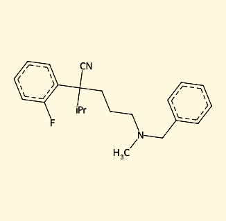 CC(C)C(C#N)(CCCN(C)Cc1ccccc1)c1ccccc1F